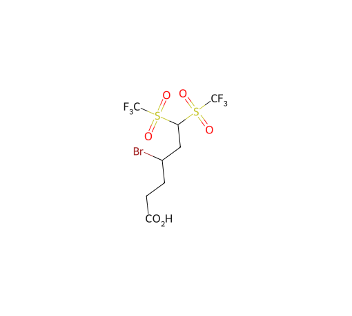 O=C(O)CCC(Br)CC(S(=O)(=O)C(F)(F)F)S(=O)(=O)C(F)(F)F